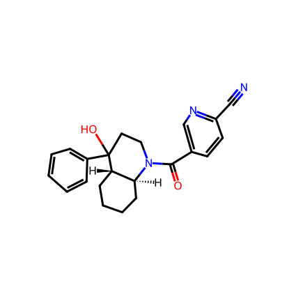 N#Cc1ccc(C(=O)N2CCC(O)(c3ccccc3)[C@H]3CCCC[C@@H]32)cn1